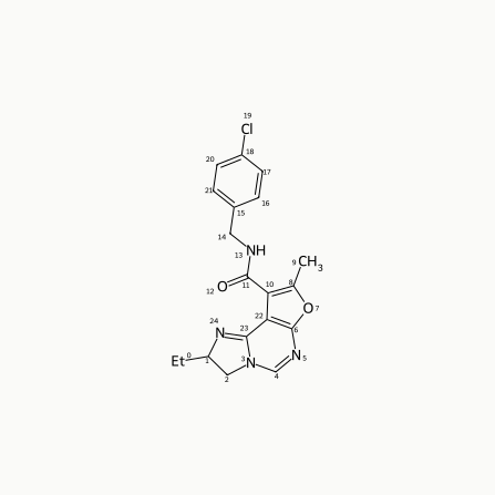 CCC1CN2C=Nc3oc(C)c(C(=O)NCc4ccc(Cl)cc4)c3C2=N1